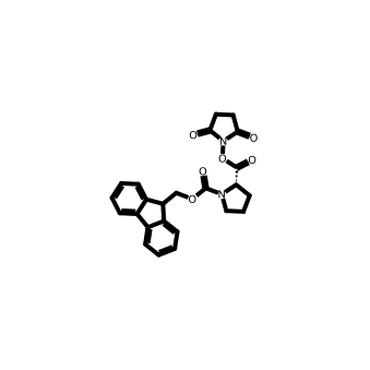 O=C(ON1C(=O)CCC1=O)[C@@H]1CCCN1C(=O)OCC1c2ccccc2-c2ccccc21